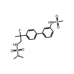 CN(C)S(=O)(=O)NCC(C)(F)c1ccc(-c2cccc(NS(C)(=O)=O)c2)cc1